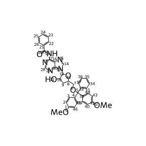 COc1ccc(C(OCC2CC(O)C(n3cnc4c(NC(=O)c5ccccc5)ncnc43)O2)(c2ccccc2)c2ccc(OC)cc2)cc1